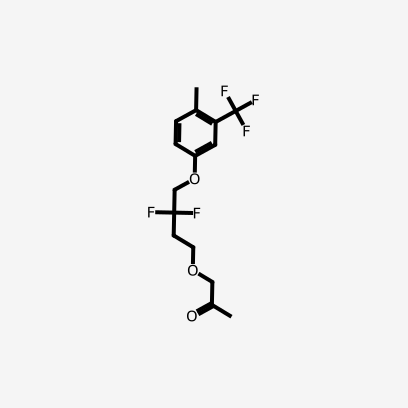 CC(=O)COCCC(F)(F)COc1ccc(C)c(C(F)(F)F)c1